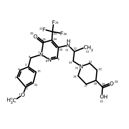 COc1ccc(Cn2ncc(NC(C)CN3CCC(C(=O)O)CC3)c(C(F)(F)F)c2=O)cc1